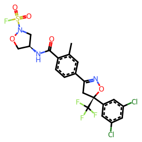 Cc1cc(C2=NO[C@@](c3cc(Cl)cc(Cl)c3)(C(F)(F)F)C2)ccc1C(=O)N[C@H]1CON(S(=O)(=O)F)C1